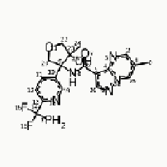 Cc1cnc2c(C(=O)NC3(c4ccc(C(F)(F)P)nc4)COCC3(C)O)cnn2c1